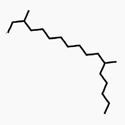 [CH2]CC(C)CCCCCCCCC(C)CCCCC